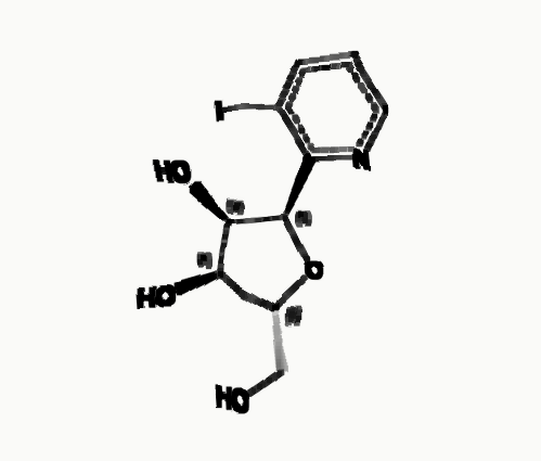 OC[C@H]1O[C@H](c2ncccc2I)[C@H](O)[C@@H]1O